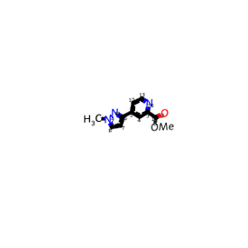 COC(=O)c1cc(-c2ccn(C)n2)ccn1